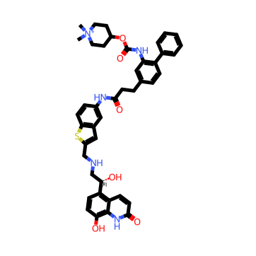 C[N+]1(C)CCC(OC(=O)Nc2cc(CCC(=O)Nc3ccc4sc(CNC[C@H](O)c5ccc(O)c6[nH]c(=O)ccc56)cc4c3)ccc2-c2ccccc2)CC1